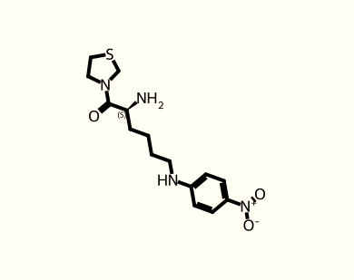 N[C@@H](CCCCNc1ccc([N+](=O)[O-])cc1)C(=O)N1CCSC1